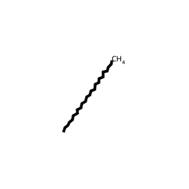 C.CCCCCCCCCCCCCCCCCCCCCCCC